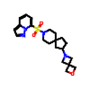 O=S(=O)(c1cccc2ccnn12)N1CCC2(CCC(N3CC4(COC4)C3)C2)CC1